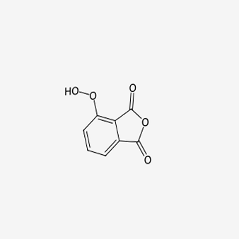 O=C1OC(=O)c2c(OO)cccc21